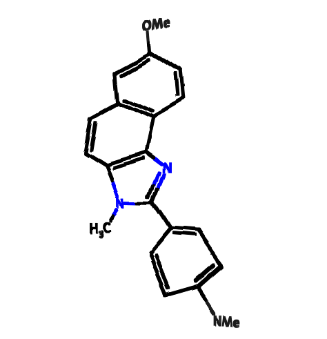 CNc1ccc(-c2nc3c4ccc(OC)cc4ccc3n2C)cc1